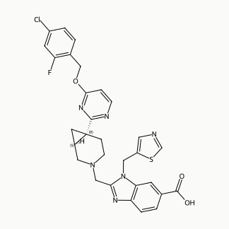 O=C(O)c1ccc2nc(CN3CC[C@]4(c5nccc(OCc6ccc(Cl)cc6F)n5)C[C@@H]4C3)n(Cc3cncs3)c2c1